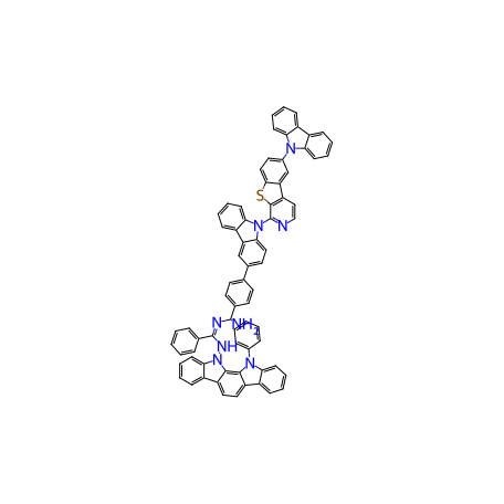 NC(/N=C(\Nn1c2ccccc2c2ccc3c4ccccc4n(-c4ccccc4)c3c21)c1ccccc1)c1ccc(-c2ccc3c(c2)c2ccccc2n3-c2nccc3c2sc2ccc(-n4c5ccccc5c5ccccc54)cc23)cc1